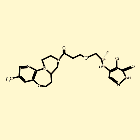 C[C@@H](COCCC(=O)N1CCN2c3ncc(C(F)(F)F)cc3OCCC2C1)Nc1cn[nH]c(=O)c1Cl